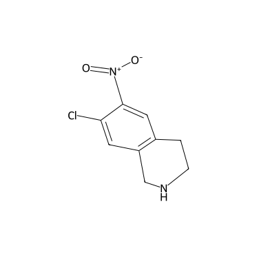 O=[N+]([O-])c1cc2c(cc1Cl)CNCC2